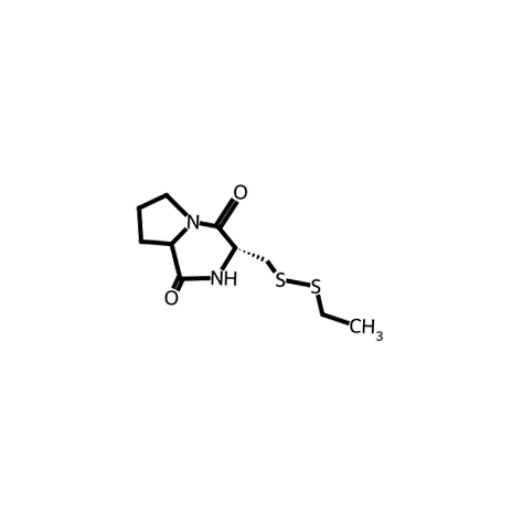 CCSSC[C@@H]1NC(=O)C2CCCN2C1=O